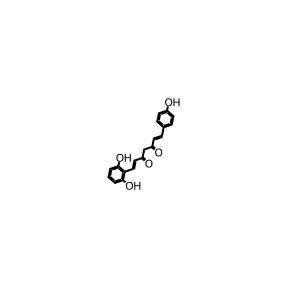 O=C(C=Cc1ccc(O)cc1)CC(=O)C=Cc1c(O)cccc1O